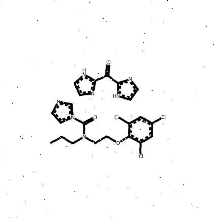 CCCN(CCOc1c(Cl)cc(Cl)cc1Cl)C(=O)n1ccnc1.O=C(c1ncc[nH]1)c1ncc[nH]1